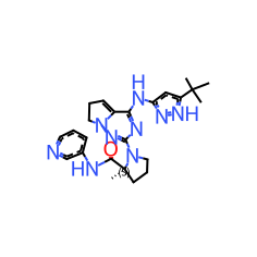 CC(C)(C)c1cc(NC2=NC(N3CCC[C@@]3(C)C(=O)Nc3cccnc3)=NN3CCC=C23)n[nH]1